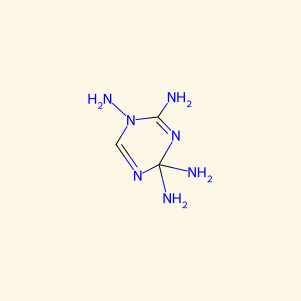 NC1=NC(N)(N)N=CN1N